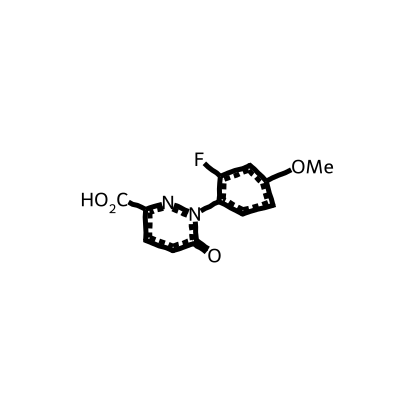 COc1ccc(-n2nc(C(=O)O)ccc2=O)c(F)c1